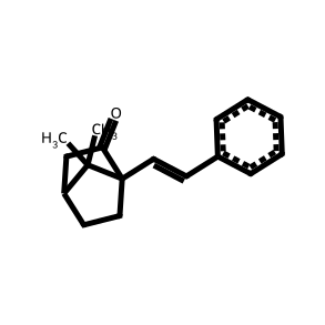 CC1(C)C2CCC1(C=Cc1ccccc1)C(=O)C2